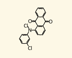 O=C1c2ccccc2C(=O)c2c1cccc2N(Cl)c1cccc(Cl)c1